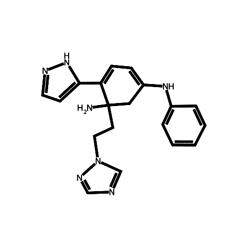 NC1(CCn2cncn2)CC(Nc2ccccc2)=CC=C1c1ccn[nH]1